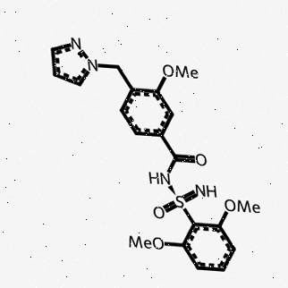 COc1cc(C(=O)N[S@](=N)(=O)c2c(OC)cccc2OC)ccc1Cn1cccn1